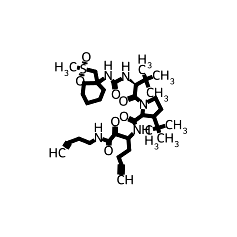 C#CCCNC(=O)C(=O)C(CCC#C)NC(=O)C1C(C(C)(C)C)CCN1C(=O)[C@@H](NC(=O)NC1(CS(C)(=O)=O)CCCCC1)C(C)(C)C